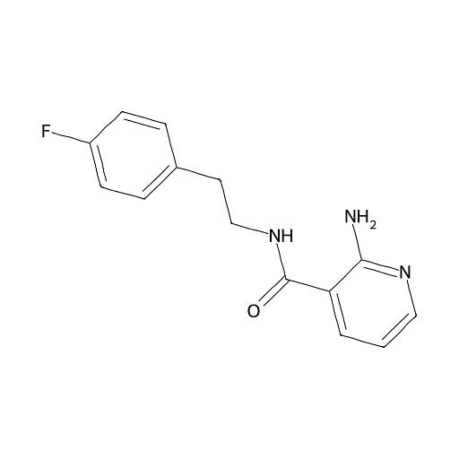 Nc1ncccc1C(=O)NCCc1ccc(F)cc1